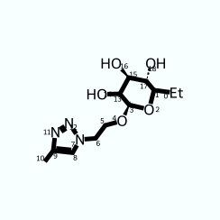 CCC1O[C@@H](OCCn2cc(C)nn2)C(O)[C@@H](O)[C@@H]1O